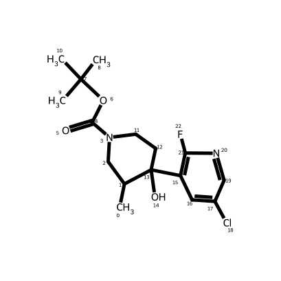 CC1CN(C(=O)OC(C)(C)C)CCC1(O)c1cc(Cl)cnc1F